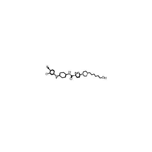 CN(c1ccc(C#N)c(Cl)c1)C1CCC(NC(=O)c2ccc(N3CCC(CCCCCCO)CC3)nn2)CC1